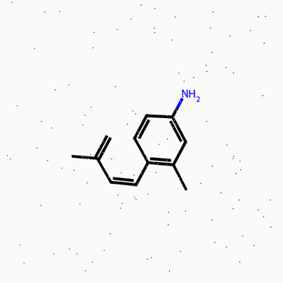 C=C(C)/C=C\c1ccc(N)cc1C